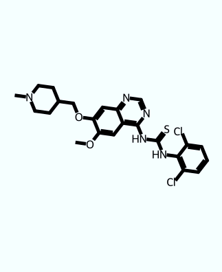 COc1cc2c(NC(=S)Nc3c(Cl)cccc3Cl)ncnc2cc1OCC1CCN(C)CC1